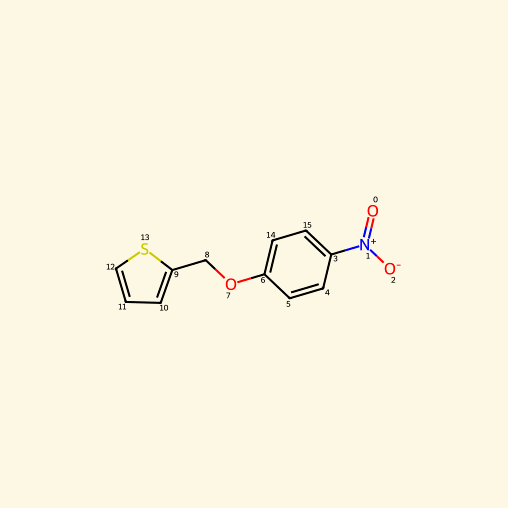 O=[N+]([O-])c1ccc(OCc2cccs2)cc1